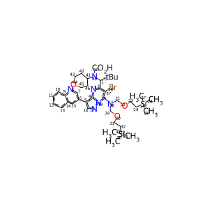 CC(C)(C)C(c1nc2c(-c3cnc4ccccc4c3)cnn2c(N(COCC[Si](C)(C)C)COCC[Si](C)(C)C)c1Br)N(C(=O)O)C1CCOCC1